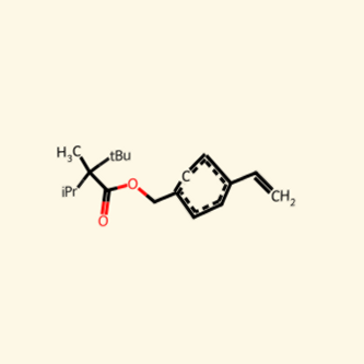 C=Cc1ccc(COC(=O)C(C)(C(C)C)C(C)(C)C)cc1